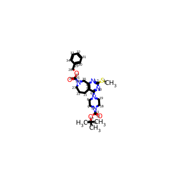 CSc1nc2c(c(N3CCN(C(=O)OC(C)(C)C)CC3)n1)CCCN(C(=O)OCc1ccccc1)C2